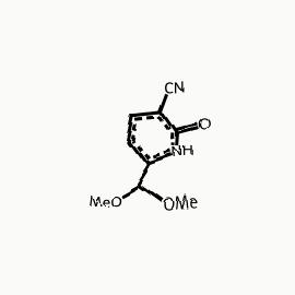 COC(OC)c1ccc(C#N)c(=O)[nH]1